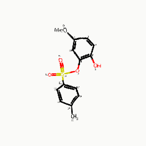 COc1ccc(O)c(OS(=O)(=O)c2ccc(C)cc2)c1